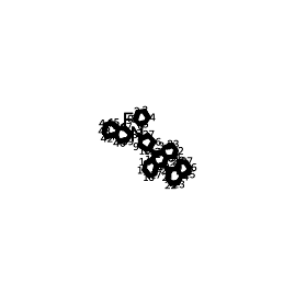 Fc1ccccc1N(c1ccc(-c2c3ccccc3c(-c3cccc4ccccc34)c3ccccc23)cc1)c1ccc2ccccc2c1